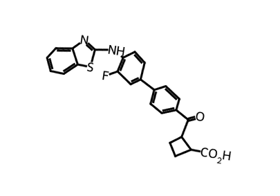 O=C(O)C1CCC1C(=O)c1ccc(-c2ccc(Nc3nc4ccccc4s3)c(F)c2)cc1